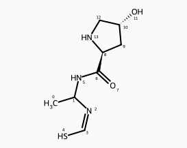 CC(/N=C\S)NC(=O)[C@@H]1C[C@@H](O)CN1